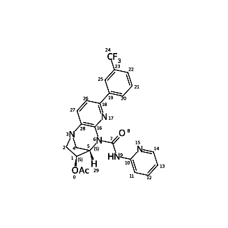 CC(=O)O[C@H]1CN2C[C@@H]1N(C(=O)Nc1ccccn1)c1nc(-c3cccc(C(F)(F)F)c3)ccc12